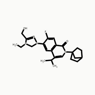 CCN1CN(c2cc3c(C(C)C)cn(C45CCC(CC4)C5)c(=O)c3cc2F)N=C1CO